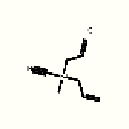 C=CC[N+](C)(C#N)CC=C.[Cl-]